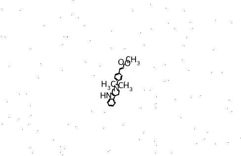 COC(=O)C=Cc1ccc(C(C)(C)N2CCc3c([nH]c4ccccc34)C2)cc1